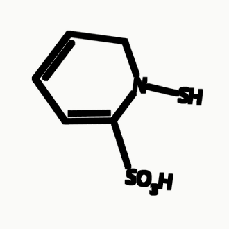 O=S(=O)(O)C1=CC=CCN1S